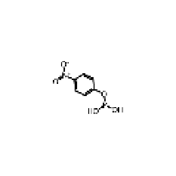 O=[N+]([O-])c1ccc(OP(O)O)cc1